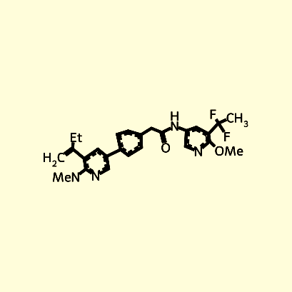 C=C(CC)c1cc(-c2ccc(CC(=O)Nc3cnc(OC)c(C(C)(F)F)c3)cc2)cnc1NC